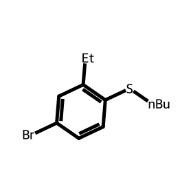 CCCCSc1ccc(Br)cc1CC